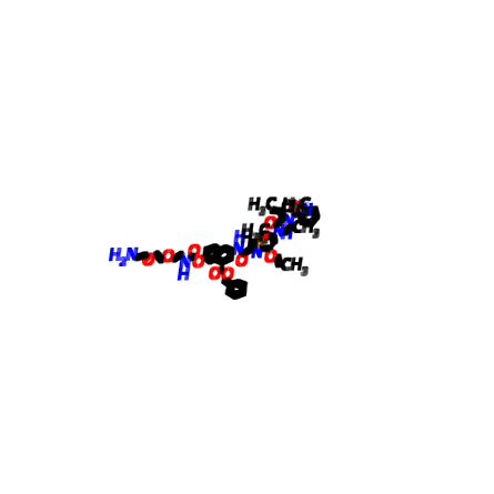 CCCO[C@H](CC(C(C)C)N(CCC)C(=O)[C@@H](NC(=O)[C@H]1CCCCN1C)[C@@H](C)CC)c1nc(C(=O)N[C@H]2Cc3ccc(OC(=O)NCCOCCOCCN)cc3[C@H](C(=O)OCc3ccccc3)C2)cs1